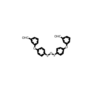 O=Cc1cccc(Oc2ccc(SOSc3ccc(Oc4cccc(C=O)c4)cc3)cc2)c1